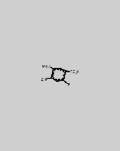 COc1cc(C(=O)O)c(F)cc1N=O